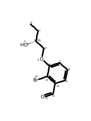 CC[C@@H](O)COc1cccc(C=O)c1Br